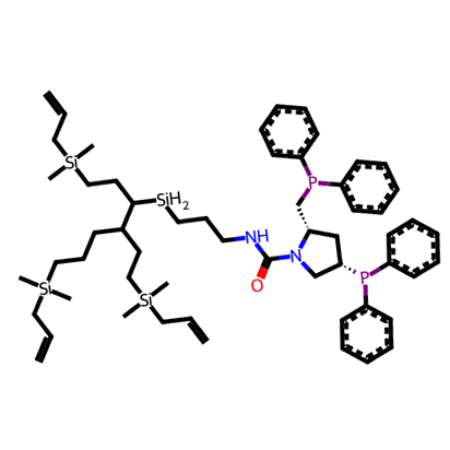 C=CC[Si](C)(C)CCCC(CC[Si](C)(C)CC=C)C(CC[Si](C)(C)CC=C)[SiH2]CCCNC(=O)N1C[C@@H](P(c2ccccc2)c2ccccc2)C[C@H]1CP(c1ccccc1)c1ccccc1